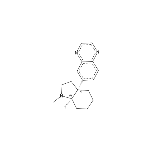 CN1CC[C@@]2(c3ccc4nccnc4c3)CCCC[C@@H]12